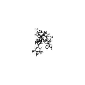 COC(=O)[C@@H](C)O[C@@H]1[C@@H](n2cc(-c3cc(F)c(F)c(F)c3)nn2)[C@H]2OC(C)(C)OC[C@H]2O[C@@]12CCCO2